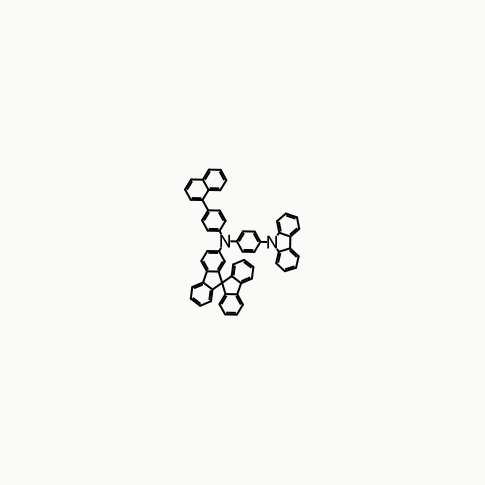 c1ccc2c(c1)-c1ccccc1C21c2ccccc2-c2ccc(N(c3ccc(-c4cccc5ccccc45)cc3)c3ccc(-n4c5ccccc5c5ccccc54)cc3)cc21